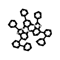 c1ccc(-c2cc3c4c(c2)n2c(-c5ccccc5)nc5c(-c6ccccc6-c6ccccc6)ccc(c52)n-4c2ccc(-c4ccccc4-c4ccccc4)c4nc(-c5ccccc5)n3c42)cc1